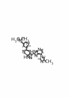 Cc1cn(-c2ccnc3[nH]c(-c4n[nH]c5cnc(-c6cncc(CN(C)C)c6)cc45)nc23)cn1